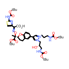 CC(C)(C)OC(=O)NCCC[n+]1cc(-c2ccc3c(c2)CC[C@H](C(C)(O/N=C(\C(=O)O)c2csc(NC(=O)OC(C)(C)C)n2)C(=O)OC(C)(C)C)O3)cn1C[C@@H](O)CNC(=O)OC(C)(C)C